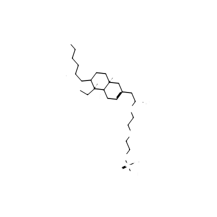 CCCC[C@@H](CC1=CC[C@@H]2[C@H](CC[C@]3(C)[C@@H]([C@H](C)CCCC(C)C)CC[C@@H]23)C1)OCCOCCOP(=O)(O)O